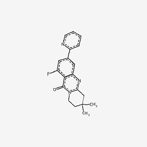 CC1(C)CCn2c(nc3cc(-c4ccccn4)cc(F)c3c2=O)C1